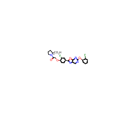 O=C(O)[C@@H]1CCCN1C(=O)COc1ccc(-c2nc3cnc(Oc4ccccc4F)nc3o2)cc1F